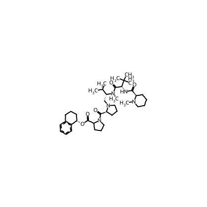 CC(C)[C@@H](CN1CCC[C@H]1C(=O)N1CCCC1C(=O)O[C@H]1CCCc2ccccc21)N(C)C(=O)[C@@H](NC(=O)[C@H]1CCCCN1C)C(C)(C)C